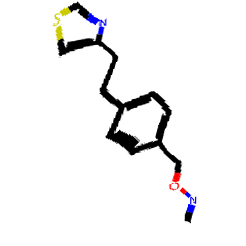 C=NOCc1ccc(CCc2cs[c]n2)cc1